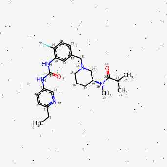 CCc1ccc(NC(=O)Nc2cc(CN3CCC[C@H](N(C)C(=O)C(C)C)C3)ccc2F)cn1